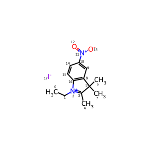 CC[N+]1=C(C)C(C)(C)c2cc([N+](=O)[O-])ccc21.[I-]